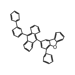 c1ccc(-c2cccc(-c3c4ccccc4c(-c4cc(-c5ccccc5)c5oc6ccccc6c5c4)c4ccccc34)c2)cc1